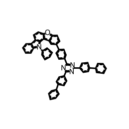 c1ccc(-c2ccc(-c3nc(-c4ccc(-c5ccccc5)cc4)nc(-c4ccc(-c5ccc6oc7ccc8c9ccccc9n(-c9ccccc9)c8c7c6c5)cc4)n3)cc2)cc1